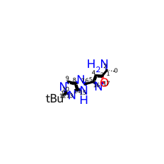 C[C@@H](N)c1cc(-c2nc3cnc(C(C)(C)C)nc3[nH]2)no1